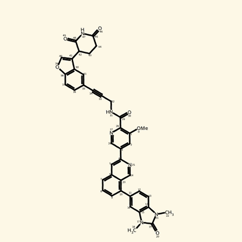 COc1cc(-c2cc3cccc(-c4ccc5c(c4)n(C)c(=O)n5C)c3cn2)cnc1C(=O)NCC#Cc1ccc2occ(C3CCC(=O)NC3=O)c2c1